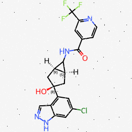 O=C(NC1[C@H]2C[C@](O)(c3cc(Cl)cc4[nH]ncc34)C[C@@H]12)c1ccnc(C(F)(F)F)c1